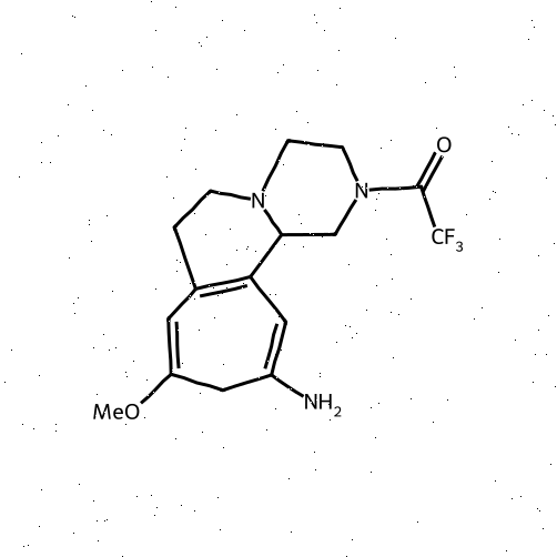 COC1=CC2=C(C=C(N)C1)C1CN(C(=O)C(F)(F)F)CCN1CC2